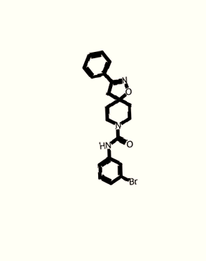 O=C(Nc1cccc(Br)c1)N1CCC2(CC1)CC(c1ccccc1)=NO2